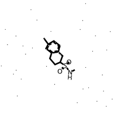 CNS(=O)(=O)C1CCc2cc(C)ccc2C1